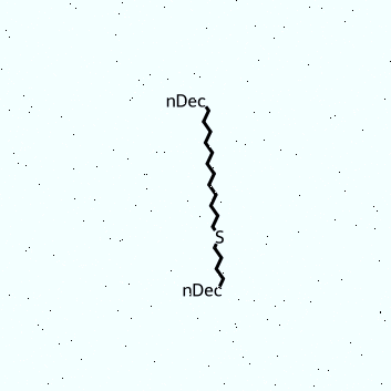 CCCCCCCCCCCCCCCCCCCCCCSCCCCCCCCCCCCCC